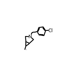 [CH2]C1C2CN(Cc3ccc(Cl)cc3)CC12